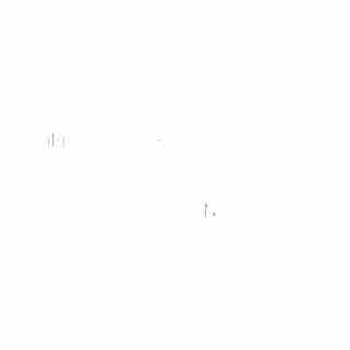 C=C=C(C(=C)CN1CCCCC1)C(C)C